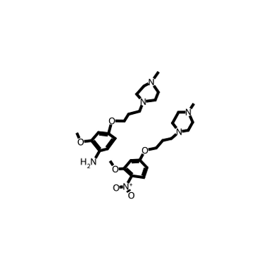 COc1cc(OCCCN2CCN(C)CC2)ccc1N.COc1cc(OCCCN2CCN(C)CC2)ccc1[N+](=O)[O-]